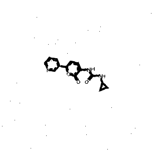 O=C(Nc1ccc(-c2cccnc2)oc1=O)NC1CC1